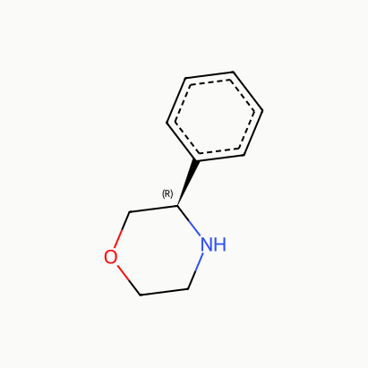 c1ccc([C@@H]2COCCN2)cc1